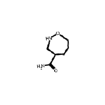 NC(=O)C1CCCONC1